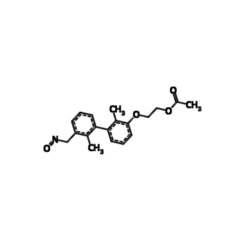 CC(=O)OCCOc1cccc(-c2cccc(CN=O)c2C)c1C